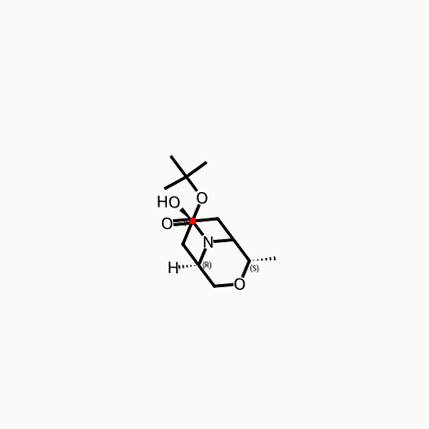 C[C@@H]1OC[C@H]2C[C@@H](O)CC1N2C(=O)OC(C)(C)C